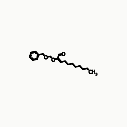 CCCCCCCCC=C(C=O)OCOCc1ccccc1